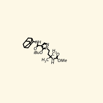 COC(=O)NC(C)(C)CCn1ncc(C(=O)NC2C3CC4CC(C3)CC2C4)c1OCC(C)C